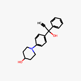 C#CC(O)(c1ccccc1)c1ccc(N2CCC(O)CC2)cc1